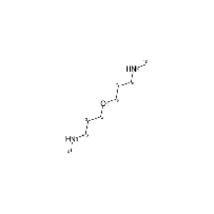 CNCCCOCCCNC